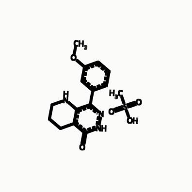 COc1cccc(-c2n[nH]c(=O)c3c2NCCC3)c1.CS(=O)(=O)O